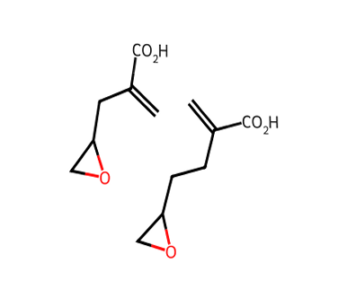 C=C(CC1CO1)C(=O)O.C=C(CCC1CO1)C(=O)O